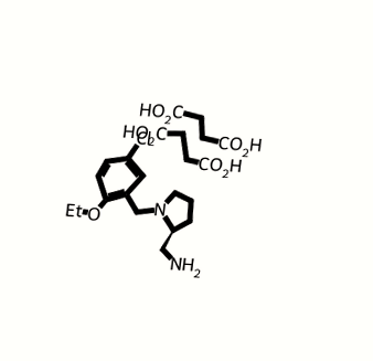 CCOc1ccc(Cl)cc1CN1CCC[C@H]1CN.O=C(O)CCC(=O)O.O=C(O)CCC(=O)O